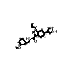 CCCn1nc(C(=O)NCc2cccc(OC)c2)c2ccc(-c3cn[nH]c3)cc21